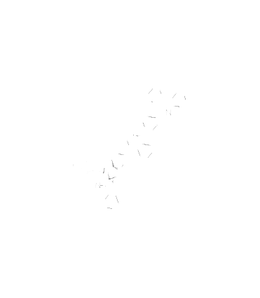 C[C@@H]1C2C(c3ccc(-c4ccc(-c5ccc(C6Nc7ccccc7-c7ccccc76)cc5)c5ccccc45)cc3)=NC(c3ccccc3)=NC21c1ccccc1